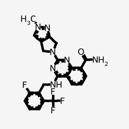 Cn1cc2c(n1)CN(c1nc(NCc3c(F)cccc3C(F)(F)F)c3cccc(C(N)=O)c3n1)C2